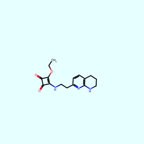 CCOc1c(NCCc2ccc3c(n2)NCCC3)c(=O)c1=O